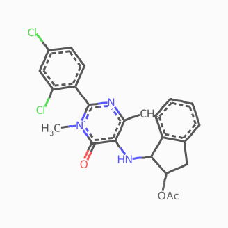 CC(=O)OC1Cc2ccccc2C1Nc1c(C)nc(-c2ccc(Cl)cc2Cl)n(C)c1=O